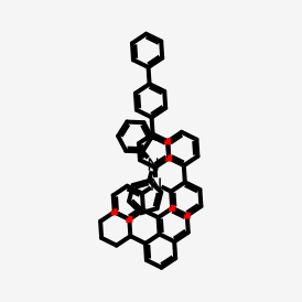 c1ccc(-c2ccc(-c3ccc(N(c4ccccc4-c4cccc5cccc(C6CCCCC6)c45)c4ccccc4-c4cccc5c6ccccc6n(-c6ccccc6)c45)cc3)cc2)cc1